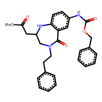 COC(=O)CC1CN(CCc2ccccc2)C(=O)c2cc(NC(=O)OCc3ccccc3)ccc2N1